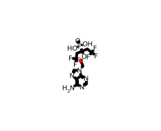 Nc1ncnc2c1ncn2CCOC(CC(F)(F)F)(CC(F)(F)F)P(=O)(O)O